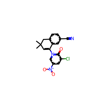 CC1(C)C=C(n2cc([N+](=O)[O-])cc(Cl)c2=O)c2cc(C#N)ccc2C1